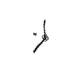 CCCCCCCCCCCCCCCCOS(=O)(=O)OCCCCCCCCCCCC.CN(C)C